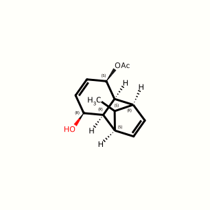 CC(=O)O[C@@H]1C=C[C@H](O)[C@H]2[C@@H]1[C@H]1C=C[C@@H]2C1C